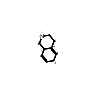 C1=CC2C[N]CCC2=CC1